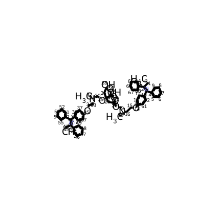 CC/C(=C(\c1ccccc1)c1ccc(OCCN(C)COC(=O)CC(CC(=O)O)(OCN(C)CCOc2ccc(/C(=C(/CC)c3ccccc3)c3ccccc3)cc2)C(=O)O)cc1)c1ccccc1